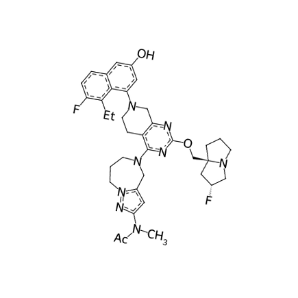 CCc1c(F)ccc2cc(O)cc(N3CCc4c(nc(OC[C@@]56CCCN5C[C@H](F)C6)nc4N4CCCn5nc(N(C)C(C)=O)cc5C4)C3)c12